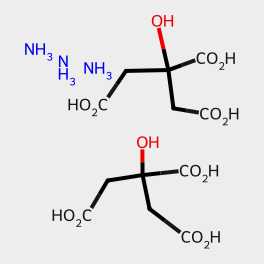 N.N.N.O=C(O)CC(O)(CC(=O)O)C(=O)O.O=C(O)CC(O)(CC(=O)O)C(=O)O